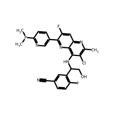 Cc1nc2cc(F)c(-c3ccc(P(C)C)nc3)nc2c(NC(CO)c2cc(C#N)ccc2F)c1Cl